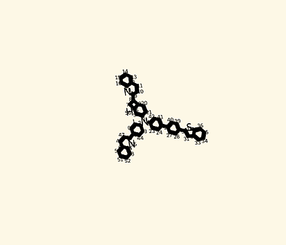 C1=CC(N(C2=C[C@H]3CC(c4ccc5ccccc5n4)C3C=C2)c2ccc(-c3ccc(-c4cc5ccccc5s4)cc3)cc2)CC=C1c1ccc2ccccc2n1